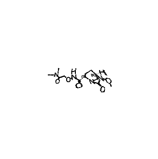 CON1C(=O)N2C[C@H]1CC[C@H]2C(=O)NOCC(=O)N(C)C